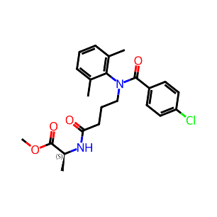 COC(=O)[C@H](C)NC(=O)CCCN(C(=O)c1ccc(Cl)cc1)c1c(C)cccc1C